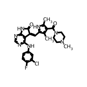 Cc1[nH]c(C=C2C(=O)Nc3ncnc(Nc4ccc(F)c(Cl)c4)c32)c(C)c1C(=O)N1CCN(C)CC1